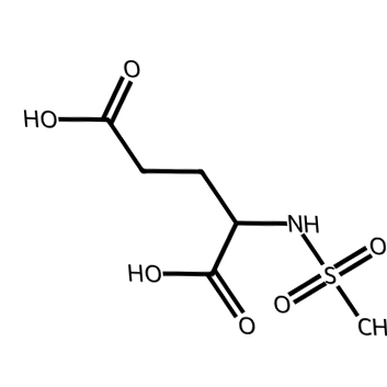 CS(=O)(=O)NC(CCC(=O)O)C(=O)O